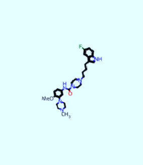 COc1ccc(NC(=O)N2CCN(CCCCc3c[nH]c4ccc(F)cc34)CC2)cc1N1CCN(C)CC1